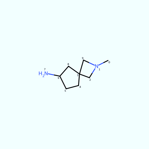 CN1CC2(CCC(N)C2)C1